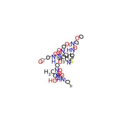 Cc1ncsc1-c1ccc(CNC(=O)[C@@H]2C[C@@H](Oc3ccc4c(c3)CN([C@H](C(=O)N3C[C@H](Oc5ccc6c(c5)C(=O)N([C@H](C(=O)N5C[C@H](O)C[C@H]5C(=O)NCc5ccc(C7CC7)cc5)C(C)C)C6)C[C@H]3C(=O)NCc3ccc(C5CCOCC5)cc3)C(C)C)C4=O)CN2c2cccc(Oc3ccccc3)c2)cc1